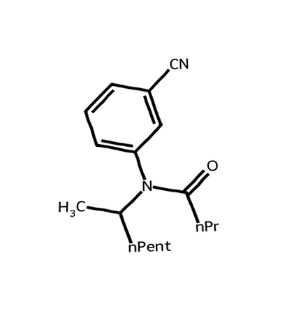 CCCCCC(C)N(C(=O)CCC)c1cccc(C#N)c1